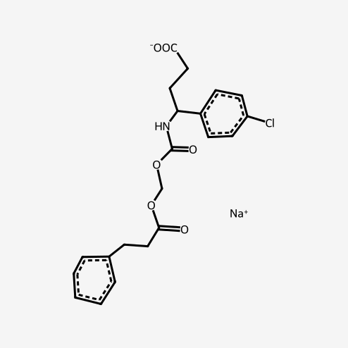 O=C([O-])CCC(NC(=O)OCOC(=O)CCc1ccccc1)c1ccc(Cl)cc1.[Na+]